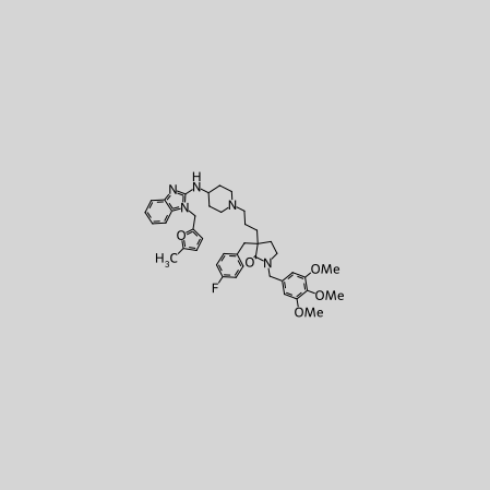 COc1cc(CN2CCC(CCCN3CCC(Nc4nc5ccccc5n4Cc4ccc(C)o4)CC3)(Cc3ccc(F)cc3)C2=O)cc(OC)c1OC